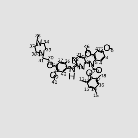 COc1ccc(N(C(=O)Oc2c(C)cc(C)cc2C)c2ccnc(Nc3ccc(OCCN4CCN(C)CC4)c(OC)c3)n2)c(OC)c1